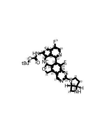 CC(C)(C)OC(=O)Nc1sc2c(F)cnc(-c3c4c(c5cnc(N6CC[C@@H]7NC[C@@H]76)nc5c3F)COC4)c2c1C#N